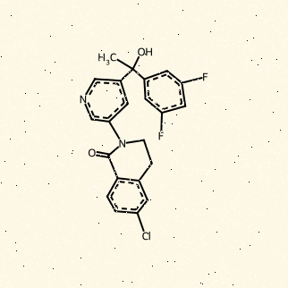 CC(O)(c1cc(F)cc(F)c1)c1cncc(N2CCc3cc(Cl)ccc3C2=O)c1